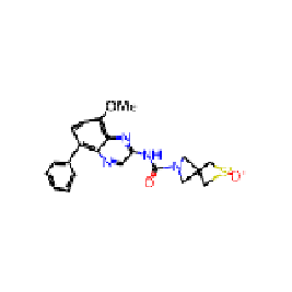 COc1ccc(-c2ccccc2)c2ncc(NC(=O)N3CC4(C3)C[S+]([O-])C4)nc12